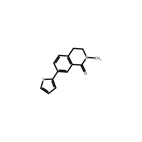 CN1CCc2ccc(-c3cccs3)cc2C1=O